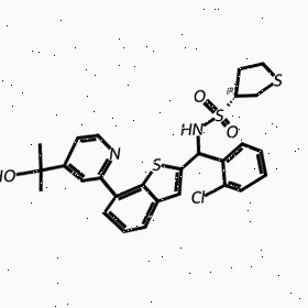 CC(C)(O)c1ccnc(-c2cccc3cc(C(NS(=O)(=O)[C@@H]4CCSC4)c4ccccc4Cl)sc23)c1